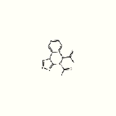 CC(=O)N1c2ccccc2-n2cnnc2N1C(C)=O